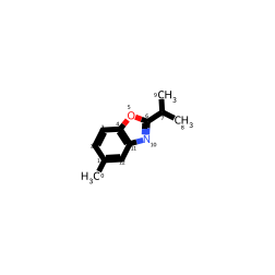 Cc1ccc2oc(C(C)C)nc2c1